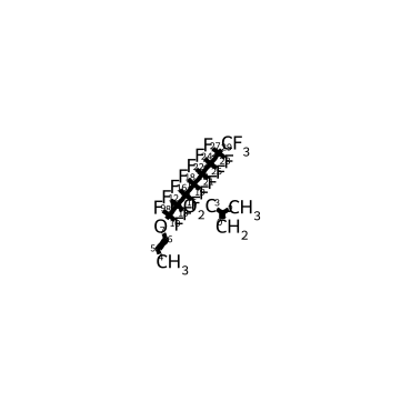 C=C(C)C(=O)O.CC=COC(F)(F)C(F)(F)C(F)(F)C(F)(F)C(F)(F)C(F)(F)C(F)(F)C(F)(F)F